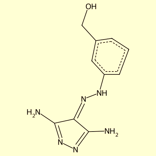 NC1=NN=C(N)C1=NNc1cccc(CO)c1